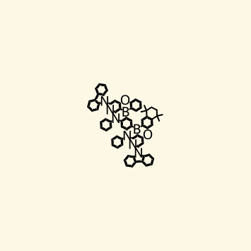 CC1(C)CCC(C)(C)c2cc3c(cc21)Oc1cc(-n2c4ccccc4c4ccccc42)nc2c1B3c1cc3c(cc1N2c1ccccc1)N(c1ccccc1)c1nc(-n2c4ccccc4c4ccccc42)cc2c1B3c1ccccc1O2